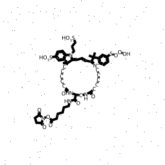 CC1(C)C2=[N+](CCCCCC(=O)NCC(C(=O)NCCCCCC(=O)ON3C(=O)CCC3=O)NC(=O)CCCCCC3(C)/C(=C/C=C/2)N(CCCS(=O)(=O)O)c2ccc(S(=O)(=O)O)cc23)c2ccc(SOOO)cc21